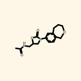 CC(=O)NCC1CN(c2ccc3c(c2)CCCOC3)C(=O)O1